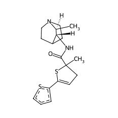 C[C@H]1[C@H](NC(=O)C2(C)CC=C(c3cccs3)S2)C2CCN1CC2